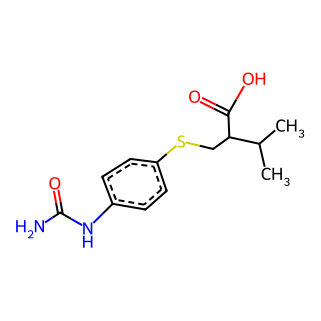 CC(C)C(CSc1ccc(NC(N)=O)cc1)C(=O)O